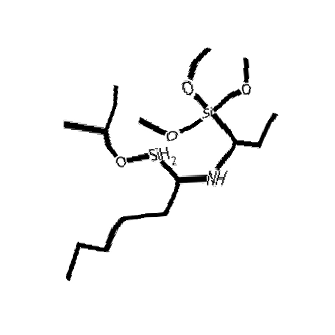 CCCCCC(NC(CC)[Si](OC)(OC)OC)[SiH2]OC(C)C